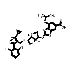 CC(C)Oc1cc(C(=O)O)cc2sc(O[C@@H]3CO[C@H]4[C@@H]3OC[C@@H]4OCc3c(-c4c(Cl)cccc4Cl)noc3C3CC3)nc12